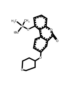 CC(C)(C)[Si](C)(C)Oc1cccc2oc(=O)c3cc(OC4CCOCC4)ccc3c12